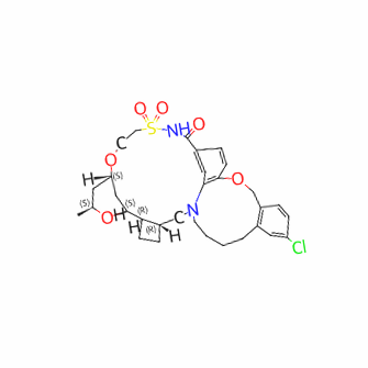 C[C@H]1C[C@H]2C[C@H](O1)[C@@H]1CC[C@H]1CN1CCCCc3cc(Cl)ccc3COc3ccc(cc31)C(=O)NS(=O)(=O)CCO2